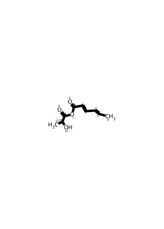 C/C=C/C=C/C(=O)OC(=O)C(C)O